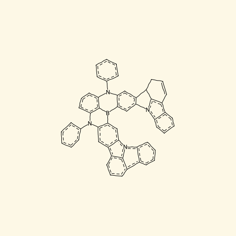 C1=Cc2c3n(c4ccccc24)-c2cc4c(cc2C3C1)N(c1ccccc1)c1cccc2c1B4c1cc3c(cc1N2c1ccccc1)c1cccc2c4ccccc4n3c21